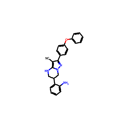 N#Cc1c(-c2ccc(Oc3ccccc3)cc2)nn2c1NCC(c1ccccc1N)C2